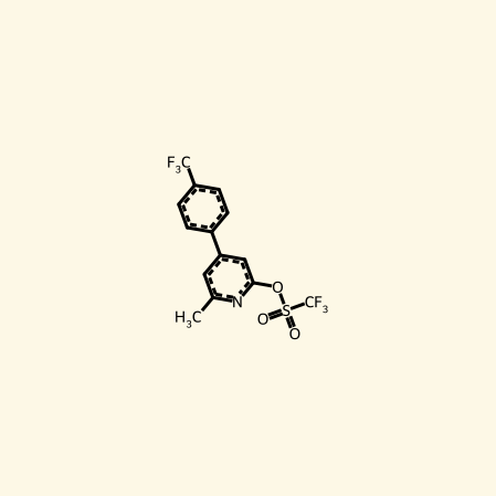 Cc1cc(-c2ccc(C(F)(F)F)cc2)cc(OS(=O)(=O)C(F)(F)F)n1